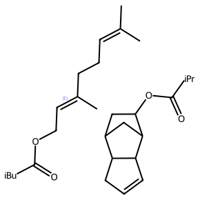 CC(C)C(=O)OC1CC2CC1C1C=CCC21.CCC(C)C(=O)OC/C=C(\C)CCC=C(C)C